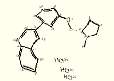 CN1CCC[C@H]1COc1cncc(-c2cnc3ccccc3c2)c1.Cl.Cl.Cl